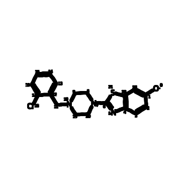 [O]c1ccc2nc(N3CCN(Cc4ccccc4Cl)CC3)sc2c1